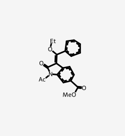 CCO/C(=C1\C(=O)N(C(C)=O)c2cc(C(=O)OC)ccc21)c1ccccc1